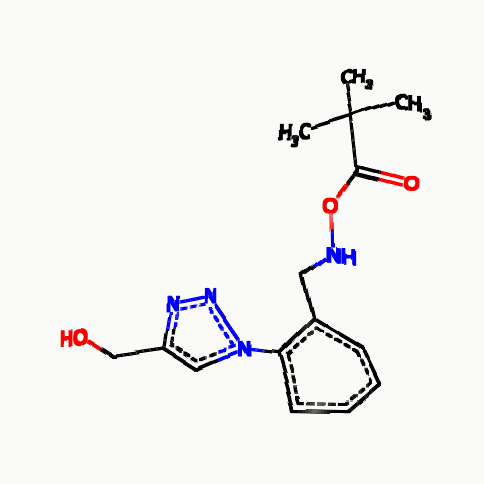 CC(C)(C)C(=O)ONCc1ccccc1-n1cc(CO)nn1